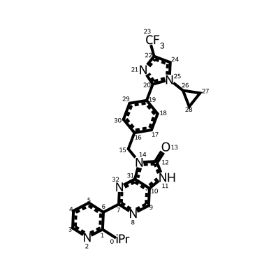 CC(C)c1ncccc1-c1ncc2[nH]c(=O)n(Cc3ccc(-c4nc(C(F)(F)F)cn4C4CC4)cc3)c2n1